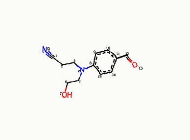 N#CCCN(CCO)c1ccc(C=O)cc1